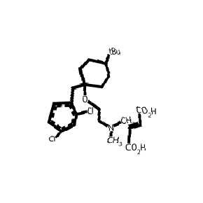 CN(C)CCOC1(Cc2ccc(Cl)cc2Cl)CCC(C(C)(C)C)CC1.O=C(O)/C=C/C(=O)O